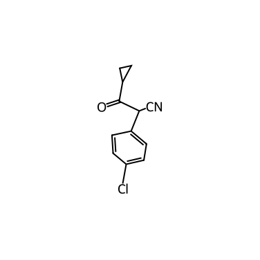 N#CC(C(=O)C1CC1)c1ccc(Cl)cc1